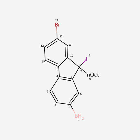 Bc1ccc2c(c1)C(I)(CCCCCCCC)c1cc(Br)ccc1-2